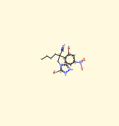 CCCCC(C#N)(Cn1cnnc1Br)c1ccc([N+](=O)[O-])cc1Br